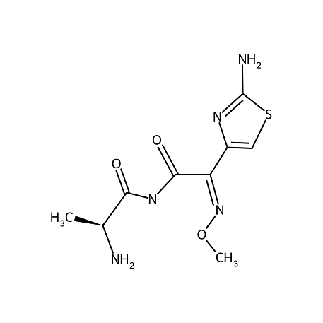 CON=C(C(=O)[N]C(=O)[C@H](C)N)c1csc(N)n1